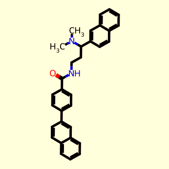 CN(C)C(CCNC(=O)c1ccc(-c2ccc3ccccc3c2)cc1)c1ccc2ccccc2c1